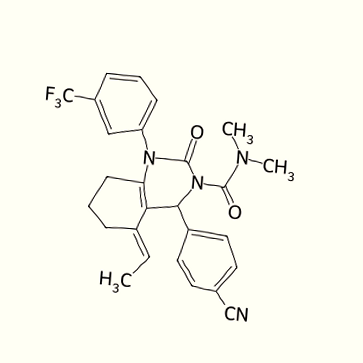 CC=C1CCCC2=C1C(c1ccc(C#N)cc1)N(C(=O)N(C)C)C(=O)N2c1cccc(C(F)(F)F)c1